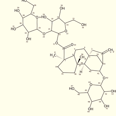 C=C1C[C@@]23CCC4[C@](C)(C(=O)OC5OC(CO)C(O)C(O)C5OC5OC(CO)C(O)C(O)C5O)CCC[C@@]4(C)[C@@H]2CC(OC2OC(CO)C(O)C(O)C2O)C1C3